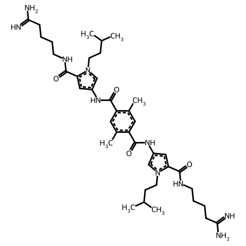 Cc1cc(C(=O)Nc2cc(C(=O)NCCCCC(=N)N)n(CCC(C)C)c2)c(C)cc1C(=O)Nc1cc(C(=O)NCCCCC(=N)N)n(CCC(C)C)c1